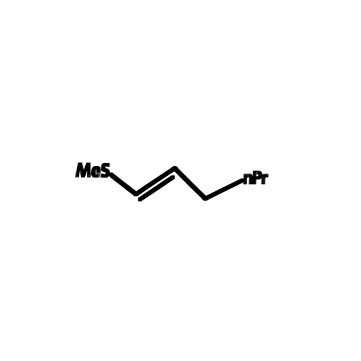 CCCCC=CSC